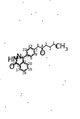 CCCCC(=O)Cc1ccc(-c2n[nH]c(=O)c3ccccc23)cc1